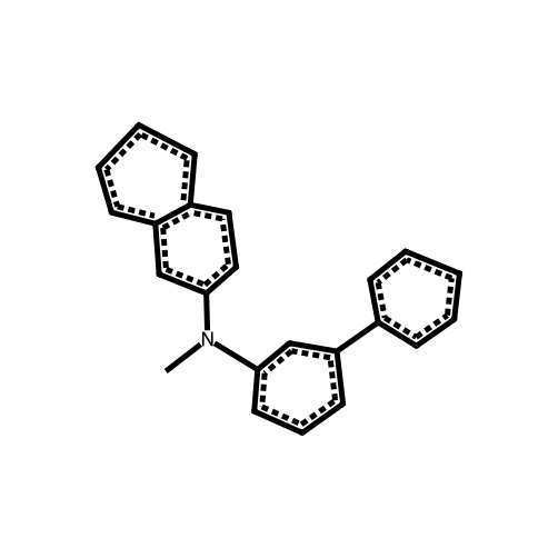 CN(c1cccc(-c2ccccc2)c1)c1ccc2ccccc2c1